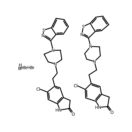 Br.Br.Br.O=C1Cc2cc(CCN3CCN(c4nsc5ccccc45)CC3)c(Cl)cc2N1.O=C1Cc2cc(CCN3CCN(c4nsc5ccccc45)CC3)c(Cl)cc2N1